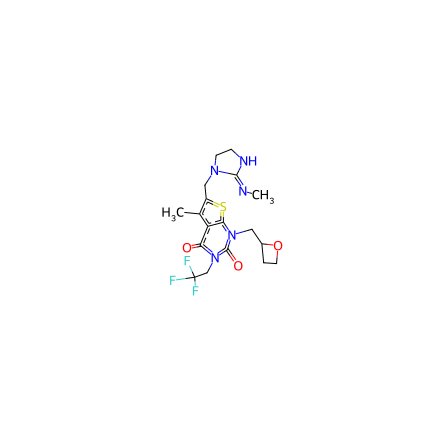 C/N=C1\NCCN1Cc1sc2c(c1C)c(=O)n(CC(F)(F)F)c(=O)n2CC1CCO1